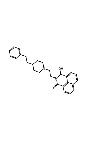 O=C1c2cccc3cccc(c23)C(O)N1CCN1CCC(CCc2ccccc2)CC1